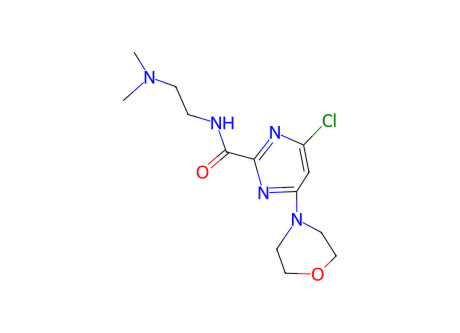 CN(C)CCNC(=O)c1nc(Cl)cc(N2CCOCC2)n1